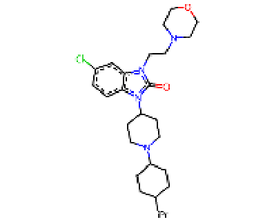 CC(C)C1CCC(N2CCC(n3c(=O)n(CCN4CCOCC4)c4cc(Cl)ccc43)CC2)CC1